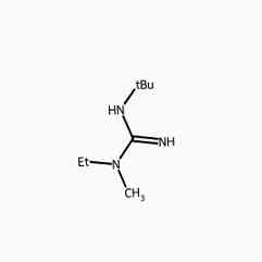 CCN(C)C(=N)NC(C)(C)C